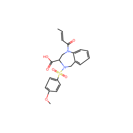 CC=CC(=O)N1CC(C(=O)O)N(S(=O)(=O)c2ccc(OC)cc2)Cc2ccccc21